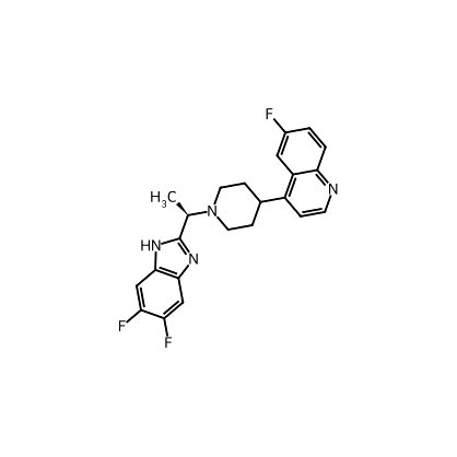 C[C@H](c1nc2cc(F)c(F)cc2[nH]1)N1CCC(c2ccnc3ccc(F)cc23)CC1